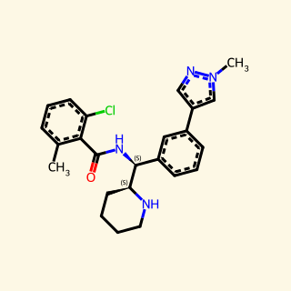 Cc1cccc(Cl)c1C(=O)N[C@@H](c1cccc(-c2cnn(C)c2)c1)[C@@H]1CCCCN1